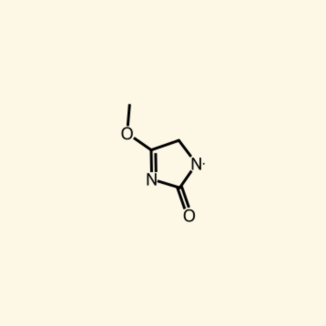 COC1=NC(=O)[N]C1